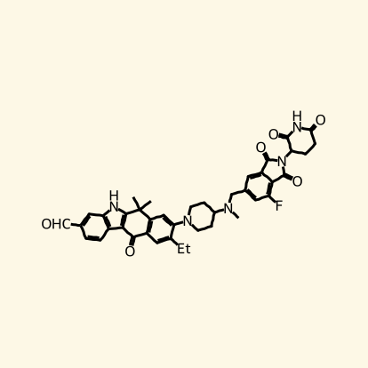 CCc1cc2c(cc1N1CCC(N(C)Cc3cc(F)c4c(c3)C(=O)N(C3CCC(=O)NC3=O)C4=O)CC1)C(C)(C)c1[nH]c3cc(C=O)ccc3c1C2=O